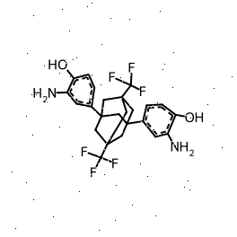 Nc1cc(C23CC4(c5ccc(O)c(N)c5)CC(C(F)(F)F)(C2)CC(C(F)(F)F)(C3)C4)ccc1O